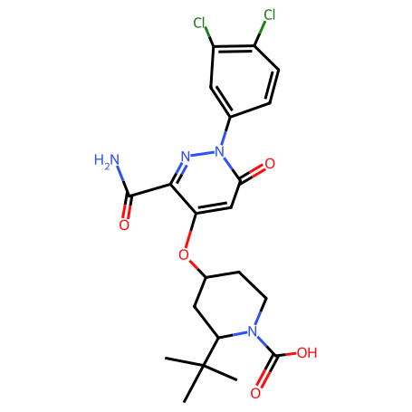 CC(C)(C)C1CC(Oc2cc(=O)n(-c3ccc(Cl)c(Cl)c3)nc2C(N)=O)CCN1C(=O)O